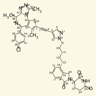 Cc1c(C#Cc2cnn(CCCCCc3cccc4c3CN(C3CCC(=O)NC3=O)C4=O)c2)sc2c1C(c1ccc(Cl)cc1)=N[C@@H](C)c1nnc(C)n1-2